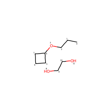 CCCOC1CCC1.OCCO